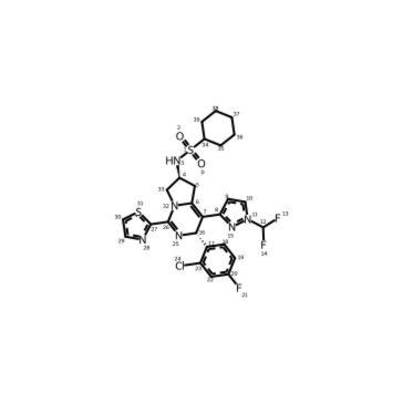 O=S(=O)(N[C@H]1CC2=C(c3ccn(C(F)F)n3)[C@H](c3ccc(F)cc3Cl)N=C(c3nccs3)N2C1)C1CCCCC1